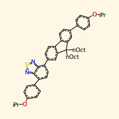 CCCCCCCCC1(CCCCCCCC)c2cc(-c3ccc(OC(C)C)cc3)ccc2-c2ccc(-c3ccc(-c4ccc(OC(C)C)cc4)c4nsnc34)cc21